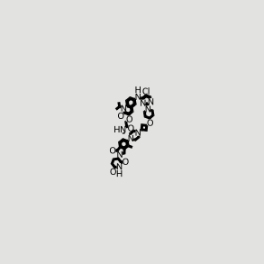 CNC(=O)COc1cc2cc(Nc3nc(N4CCC(OC5CC(N6CCN(c7ccc8c(c7C)CN([C@@H]7CCC(=O)NC7=O)C8=O)CC6)C5)CC4)ncc3Cl)ccc2n(C(C)C)c1=O